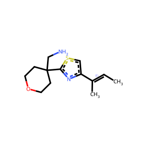 C/C=C(\C)c1csc(C2(CN)CCOCC2)n1